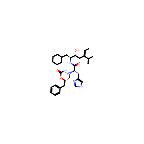 CC=C(C[C@@H](O)[C@H](CC1CCCCC1)NC(=O)[C@H](Cc1c[nH]cn1)NC[C@H](Cc1ccccc1)OC(N)=O)C(C)C